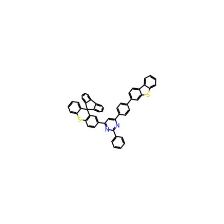 c1ccc(-c2nc(-c3ccc(-c4ccc5c(c4)sc4ccccc45)cc3)cc(-c3ccc4c(c3)C3(c5ccccc5S4)c4ccccc4-c4ccccc43)n2)cc1